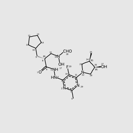 Cc1nc(NNC(=O)[C@H](CC2CCCC2)CN(O)C=O)c(F)c(N2C[C@@H](C)[C@@H](O)C2)n1